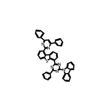 c1ccc(-c2cc(-c3ccccc3)nc(-c3cccc4sc5c(-c6nc(-c7ccccc7)nc(-n7c8ccccc8c8ccccc87)n6)cccc5c34)n2)cc1